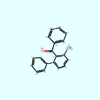 Cc1cccc(-c2ccccc2)c1C(=O)c1ccccc1